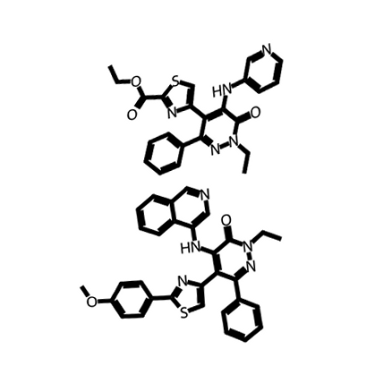 CCOC(=O)c1nc(-c2c(-c3ccccc3)nn(CC)c(=O)c2Nc2cccnc2)cs1.CCn1nc(-c2ccccc2)c(-c2csc(-c3ccc(OC)cc3)n2)c(Nc2cncc3ccccc23)c1=O